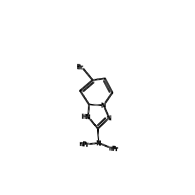 CCCN(CCC)C1=NN2C=CC(Br)=CC2N1